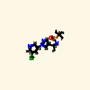 C/C(=N/[S+]([O-])C(C)(C)C)c1cnn(-c2cncc(Br)c2)c1